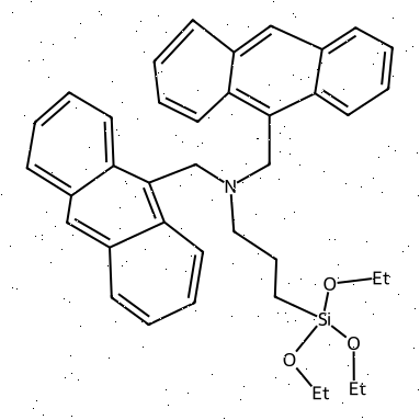 CCO[Si](CCCN(Cc1c2ccccc2cc2ccccc12)Cc1c2ccccc2cc2ccccc12)(OCC)OCC